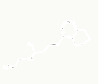 C=CCNC(O)CCOc1cccc2c1SCCC2